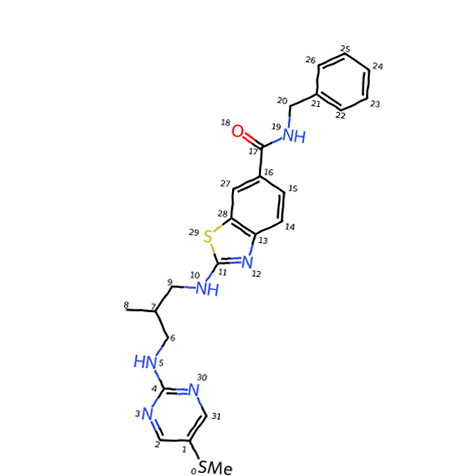 CSc1cnc(NCC(C)CNc2nc3ccc(C(=O)NCc4ccccc4)cc3s2)nc1